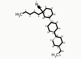 CCCCCC1(C#N)CCCC([C@H]2CC[C@H]([C@H]3CC[C@H](CC)CC3)CC2)C1